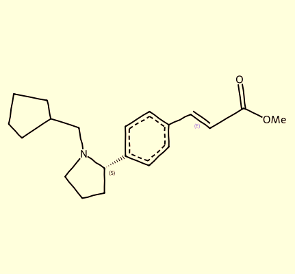 COC(=O)/C=C/c1ccc([C@@H]2CCCN2CC2CCCC2)cc1